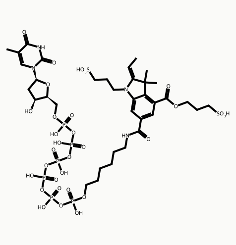 C/C=C1/N(CCCS(=O)(=O)O)c2cc(C(=O)NCCCCCCOP(=O)(O)OP(=O)(O)OP(=O)(O)OP(=O)(O)OP(=O)(O)OP(=O)(O)OC[C@@H]3O[C@H](n4cc(C)c(=O)[nH]c4=O)C[C@@H]3O)cc(C(=O)OCCCS(=O)(=O)O)c2C1(C)C